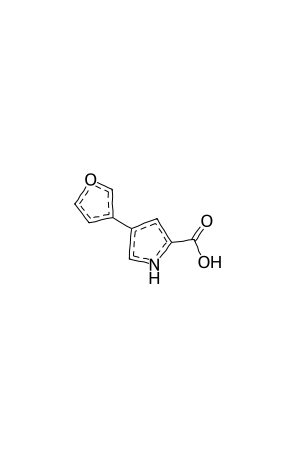 O=C(O)c1cc(-c2ccoc2)c[nH]1